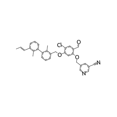 C/C=C/c1cccc(-c2cccc(COc3cc(OCc4cncc(C#N)c4)c(C=O)cc3Cl)c2C)c1C